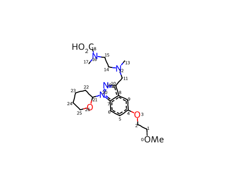 COCCOc1ccc2c(c1)c(CN(C)CCN(C)C(=O)O)nn2C1CCCCO1